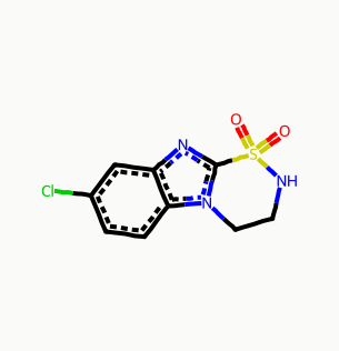 O=S1(=O)NCCn2c1nc1cc(Cl)ccc12